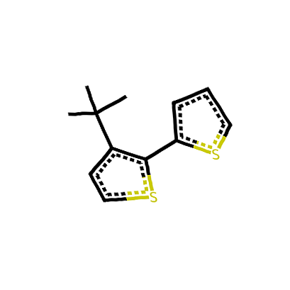 CC(C)(C)c1ccsc1-c1cccs1